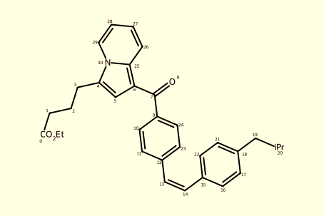 CCOC(=O)CCCc1cc(C(=O)c2ccc(/C=C\c3ccc(CC(C)C)cc3)cc2)c2ccccn12